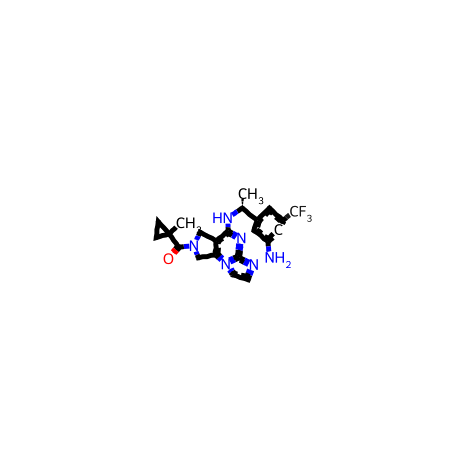 C[C@@H](Nc1nc2nccn2c2c1CN(C(=O)C1(C)CC1)C2)c1cc(N)cc(C(F)(F)F)c1